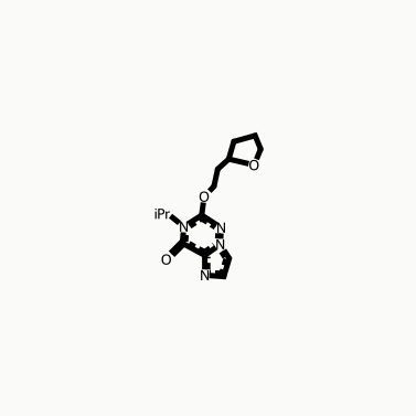 CC(C)n1c(OCCC2CCCO2)nn2ccnc2c1=O